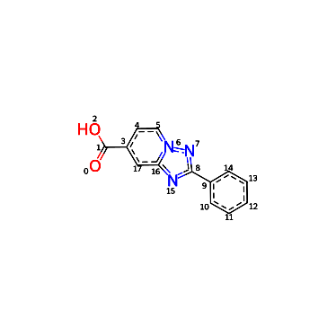 O=C(O)c1ccn2nc(-c3ccccc3)nc2c1